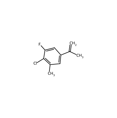 C=C(C)c1cc(C)c(Cl)c(F)c1